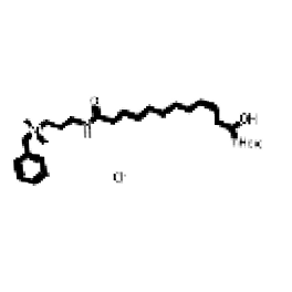 CCCCCCC(O)C/C=C\CCCCCCCC(=O)NCCC[N+](C)(C)Cc1ccccc1.[Cl-]